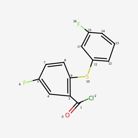 O=C(Cl)c1cc(F)ccc1Sc1cccc(F)c1